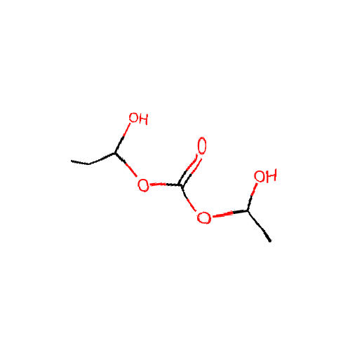 CC(O)OC(=O)OC(C)O